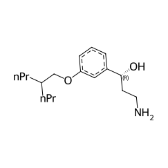 CCCC(CCC)COc1cccc([C@H](O)CCN)c1